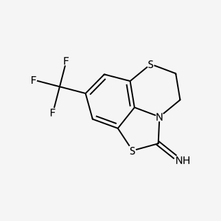 N=c1sc2cc(C(F)(F)F)cc3c2n1CCS3